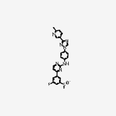 Cc1ccc(-c2ncn(-c3ccc(Nc4nccc(-c5cc(F)cc([S+](C)[O-])c5)n4)cc3)n2)cn1